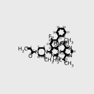 C=CC(=O)N1CCN(c2nc(=O)n(-c3c(C(C)C)ncnc3C(C)C)c3c2C=C(F)C(c2ccccc2)N3O)[C@@H](C)C1